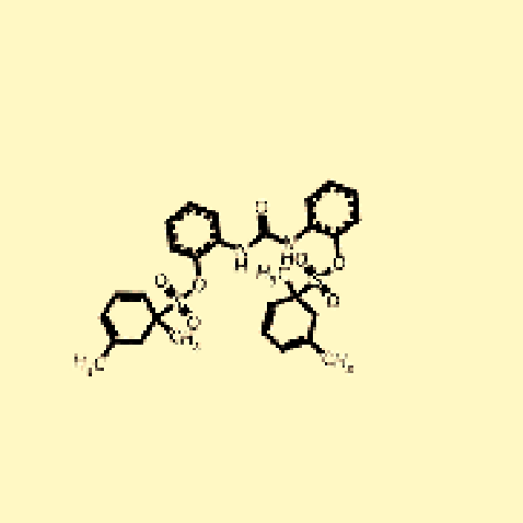 CC1=CC=CC(C)(S(=O)(=O)Oc2ccccc2NC(=O)Nc2ccccc2OS(=O)(=O)C2(C)C=CC=C(C)C2)C1